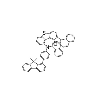 CC1(C)c2ccccc2-c2cccc(-c3ccc(N(c4cccc5ccccc45)c4cccc5sc6ccc7c(oc8ccc9ccccc9c87)c6c45)cc3)c21